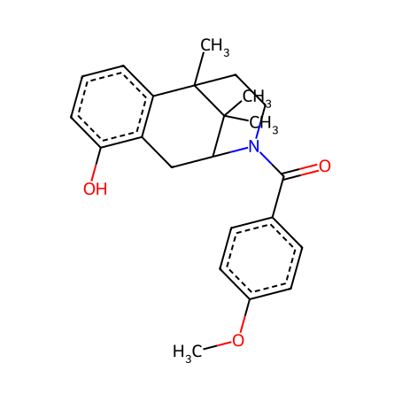 COc1ccc(C(=O)N2CCC3(C)c4cccc(O)c4CC2C3(C)C)cc1